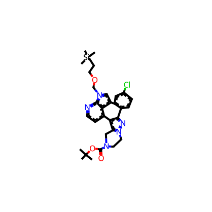 Cc1cn(COCC[Si](C)(C)C)c2nccc(-c3c(-c4ccc(Cl)cc4)nn4c3CN(C(=O)OC(C)(C)C)CC4)c12